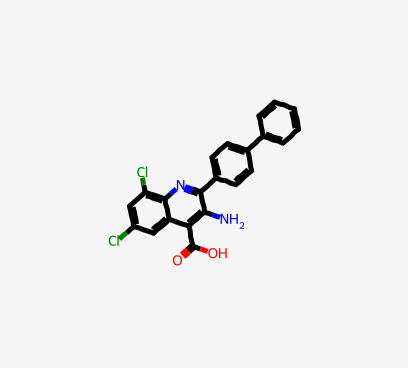 Nc1c(-c2ccc(-c3ccccc3)cc2)nc2c(Cl)cc(Cl)cc2c1C(=O)O